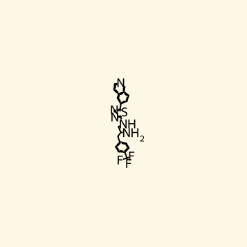 NC(CNc1nnc(-c2ccc3cnccc3c2)s1)Cc1ccc(C(F)(F)F)cc1